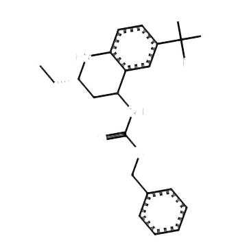 CC[C@H]1CC(NC(=O)OCc2ccccc2)c2cc(C(F)(F)F)ccc2N1